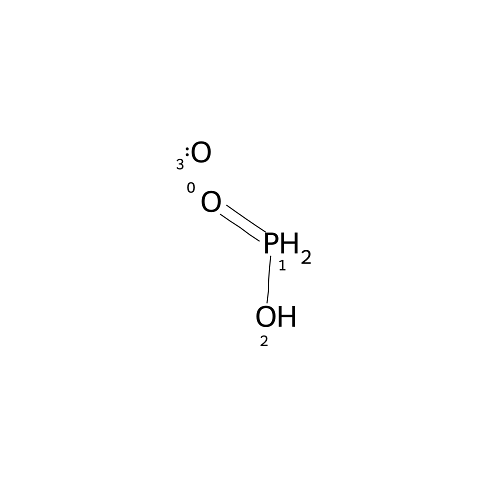 O=[PH2]O.[O]